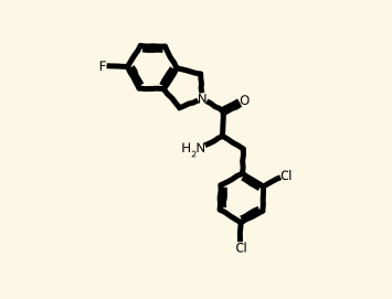 NC(Cc1ccc(Cl)cc1Cl)C(=O)N1Cc2ccc(F)cc2C1